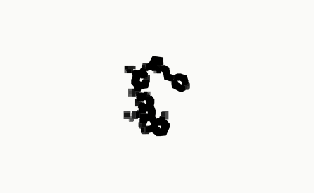 Cn1c(=O)c(-c2c(Cl)cccc2Cl)cc2cnc(Nc3cnc(Oc4ccn(CCN5CCOCC5)n4)c(C#N)c3)nc21